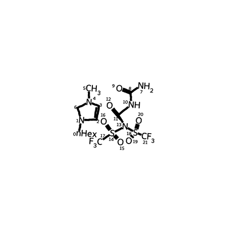 CCCCCCN1C=CN(C)C1.NC(=O)NC(=O)N(S(=O)(=O)C(F)(F)F)S(=O)(=O)C(F)(F)F